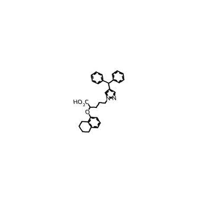 O=C(O)C(CCCn1cc(C(c2ccccc2)c2ccccc2)cn1)Oc1cccc2c1CCCC2